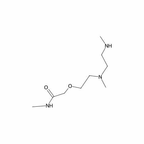 CNCCN(C)CCOCC(=O)NC